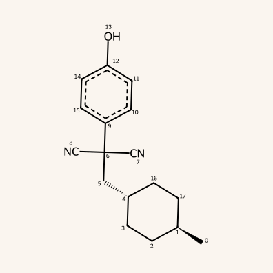 C[C@H]1CC[C@H](CC(C#N)(C#N)c2ccc(O)cc2)CC1